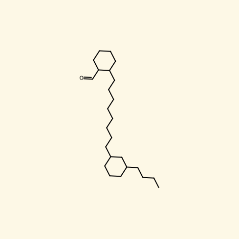 CCCCC1CCCC(CCCCCCCCC2CCCCC2C=O)C1